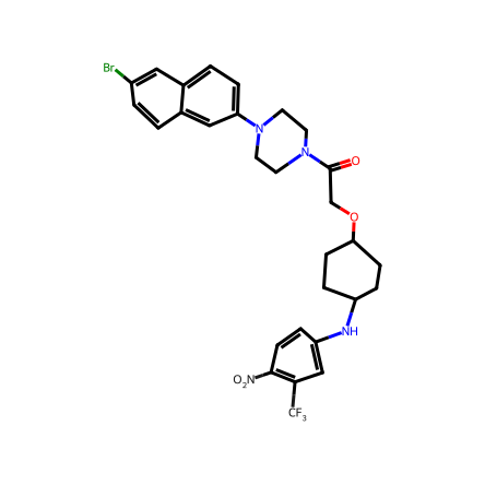 O=C(COC1CCC(Nc2ccc([N+](=O)[O-])c(C(F)(F)F)c2)CC1)N1CCN(c2ccc3cc(Br)ccc3c2)CC1